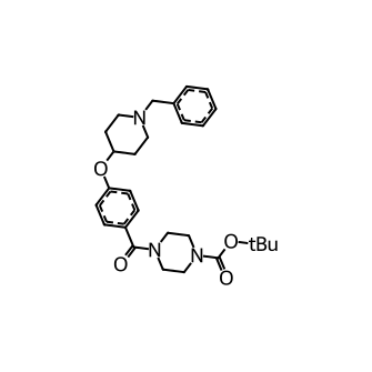 CC(C)(C)OC(=O)N1CCN(C(=O)c2ccc(OC3CCN(Cc4ccccc4)CC3)cc2)CC1